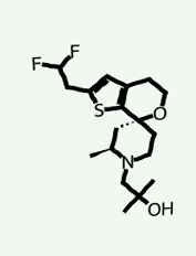 C[C@H]1C[C@@]2(CCN1CC(C)(C)O)OCCc1cc(CC(F)F)sc12